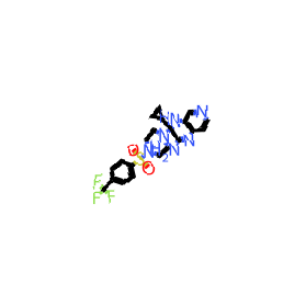 NC1=Nc2ccncc2NC1(C1CC1)N1CCN(S(=O)(=O)c2ccc(C(F)(F)F)cc2)CC1